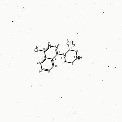 C[C@@H]1CNCCN1c1nnc(Cl)c2ccccc12